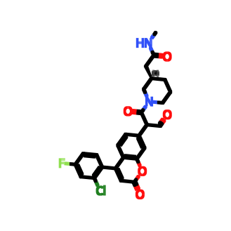 CNC(=O)C[C@H]1CCCN(C(=O)C(C=O)c2ccc3c(-c4ccc(F)cc4Cl)cc(=O)oc3c2)C1